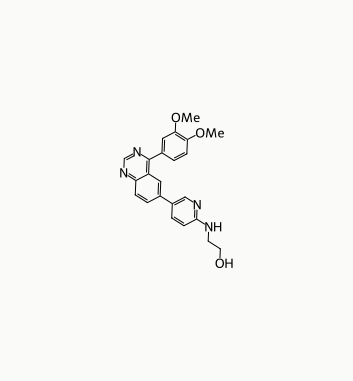 COc1ccc(-c2ncnc3ccc(-c4ccc(NCCO)nc4)cc23)cc1OC